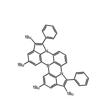 CC(C)(C)c1cc2c3c(c1)c(C(C)(C)C)c(-c1ccccc1)n3-c1cccc3c1B2c1cc(C(C)(C)C)cc2c(C(C)(C)C)c(-c4ccccc4)n-3c12